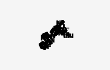 Cc1nc2c(o1)C(=N[S+]([O-])C(C)(C)C)C1(CCN(c3nc(C)c(-c4ccccc4F)n4nccc34)CC1)C2